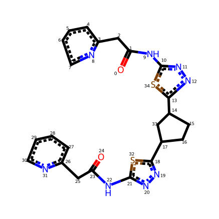 O=C(Cc1ccccn1)Nc1nnc(C2CCC(c3nnc(NC(=O)Cc4ccccn4)s3)C2)s1